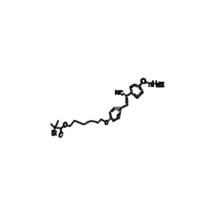 CCCCCCOc1ccc(/C(C#N)=C/c2ccc(OCCCCCCOC(=O)C(C)(C)CC)cc2)cc1